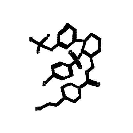 O=C(OC[C@@H]1CCC[C@H](c2cccc(OC(F)(F)F)c2)N1S(=O)(=O)c1ccc(Cl)cc1)N1CCN(CCO)CC1